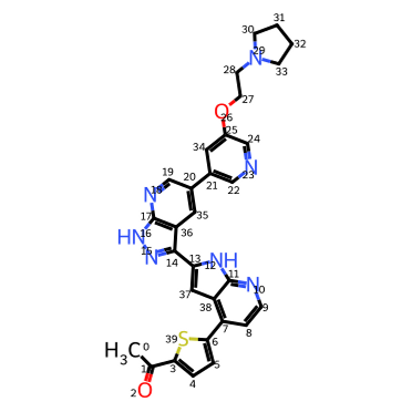 CC(=O)c1ccc(-c2ccnc3[nH]c(-c4n[nH]c5ncc(-c6cncc(OCCN7CCCC7)c6)cc45)cc23)s1